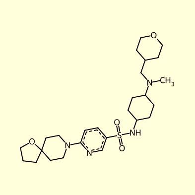 CN(CC1CCOCC1)C1CCC(NS(=O)(=O)c2ccc(N3CCC4(CCCO4)CC3)nc2)CC1